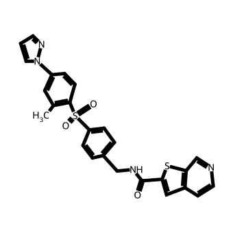 Cc1cc(-n2cccn2)ccc1S(=O)(=O)c1ccc(CNC(=O)c2cc3ccncc3s2)cc1